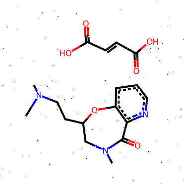 CN(C)CCC1CN(C)C(=O)c2ncccc2O1.O=C(O)C=CC(=O)O